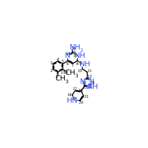 Cc1cccc(C2=CC(NCCc3n[nH]c(C4=CCNC=C4)n3)NC(N)=N2)c1C